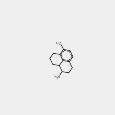 Cc1ccc2c3c1CCCC3C(N)CC2